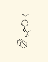 C=C(C)c1ccc(OC(C)OCC23CC4CC(CC(C4)C2)C3)cc1